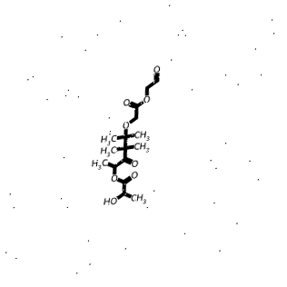 CC(O)C(=O)OC(C)C(=O)C(C)(C)C(C)(C)OCC(=O)OCC=O